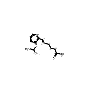 CC(C)Sc1cccnc1C=NCCCC(=O)O